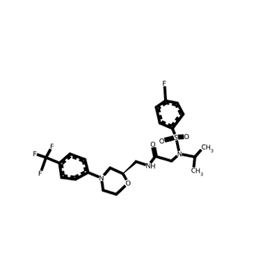 CC(C)N(CC(=O)NC[C@@H]1CN(c2ccc(C(F)(F)F)cc2)CCO1)S(=O)(=O)c1ccc(F)cc1